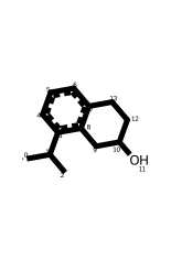 [CH2]C(C)c1cccc2c1CC(O)CC2